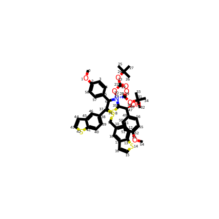 COc1ccc(C(CSCc2ccc3sccc3c2)[N@+](OC(=O)OC(C)(C)C)(C(=O)OC(C)(C)C)C(SCc2ccc3sccc3c2)[C@@H](O)c2ccc(OC)cc2)cc1